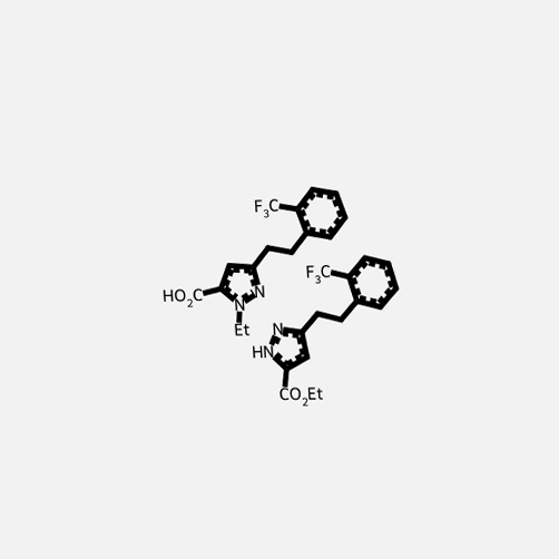 CCOC(=O)c1cc(CCc2ccccc2C(F)(F)F)n[nH]1.CCn1nc(CCc2ccccc2C(F)(F)F)cc1C(=O)O